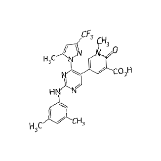 Cc1cc(C)cc(Nc2ncc(-c3cc(C(=O)O)c(=O)n(C)c3)c(-n3nc(C(F)(F)F)cc3C)n2)c1